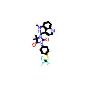 CNc1cccc2nccc(CN3C(=O)N(c4ccc(SC(F)(F)F)cc4)C(=O)C3(C)C)c12